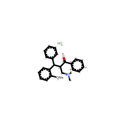 COc1ccccc1C(c1ccccc1)C(CN(C)C)C(=O)c1ccccc1.Cl